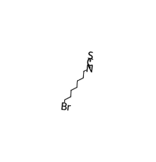 S=C=NCCCCCCCBr